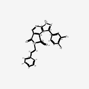 O=C1c2cnc3[nH]nc(-c4ccc(F)c(F)c4)c3c2C(=O)N1CCc1ccccc1